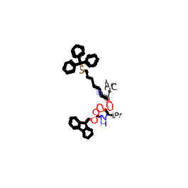 CC(=O)C[C@@H](/C=C/CCCCSC(c1ccccc1)(c1ccccc1)c1ccccc1)OC(=O)C(NC(=O)OCC1c2ccccc2-c2ccccc21)C(C)C